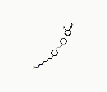 N#Cc1ccc([C@H]2CC[C@H](CC[C@H]3CC[C@H](CCCCC/C=C/F)CC3)CC2)cc1F